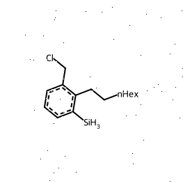 CCCCCCCCc1c([SiH3])cccc1CCl